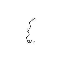 CSCCSCCC(C)C